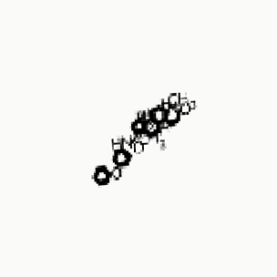 CN1C(=O)C=C[C@]2(C)[C@H]3CC[C@]4(C)[C@@H](C(=O)Nc5ccc(Oc6ccccc6)cc5)CC[C@H]4[C@@H]3CC[C@@H]12